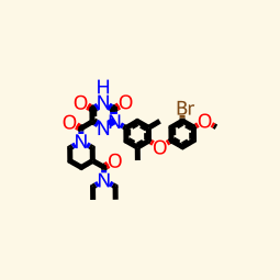 CCN(CC)C(=O)C1CCCN(C(=O)c2nn(-c3cc(C)c(Oc4ccc(OC)c(Br)c4)c(C)c3)c(=O)[nH]c2=O)C1